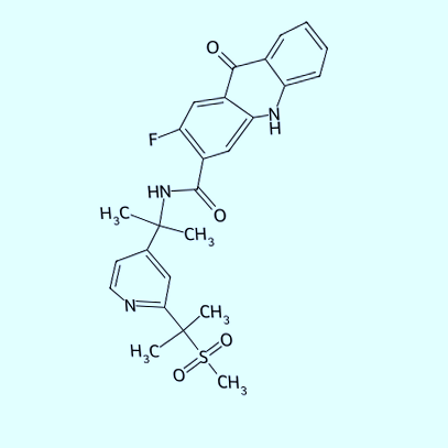 CC(C)(NC(=O)c1cc2[nH]c3ccccc3c(=O)c2cc1F)c1ccnc(C(C)(C)S(C)(=O)=O)c1